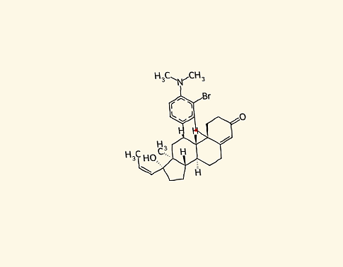 C/C=C\[C@]1(O)CC[C@H]2[C@@H]3CCC4=CC(=O)CC[C@@]45Cc4c(ccc(N(C)C)c4Br)[C@@H](C[C@@]21C)[C@@H]35